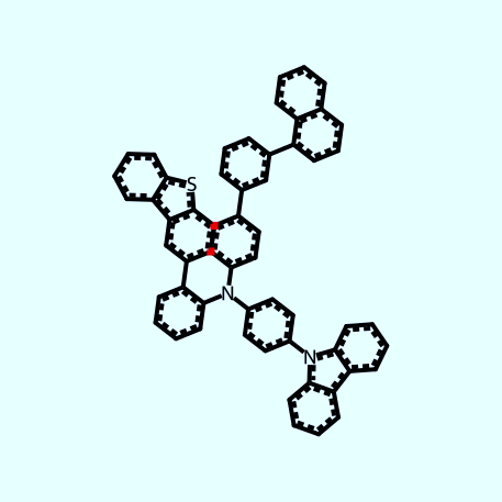 c1cc(-c2ccc(N(c3ccc(-n4c5ccccc5c5ccccc54)cc3)c3ccccc3-c3ccc4sc5ccccc5c4c3)cc2)cc(-c2cccc3ccccc23)c1